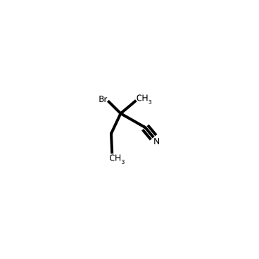 CCC(C)(Br)C#N